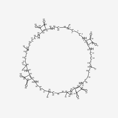 CN1CCCNc2c(c(=O)c2=O)NCCCN(C)CCCNc2c(c(=O)c2=O)NC(C)(C)CCCN(C)CCCNc2c(c(=O)c2=O)NC(C)(C)CCCN(C)CCCNc2c(c(=O)c2=O)NCCC1